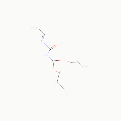 CC=NC(=O)NC(OCCC)OCCC